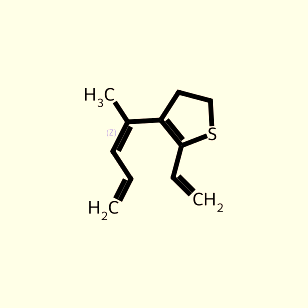 C=C/C=C(/C)C1=C(C=C)SCC1